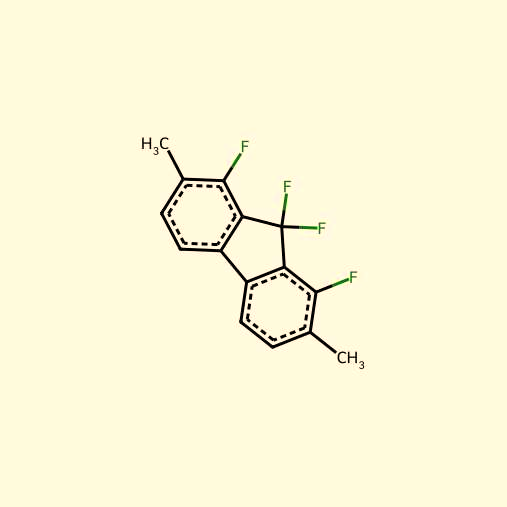 Cc1ccc2c(c1F)C(F)(F)c1c-2ccc(C)c1F